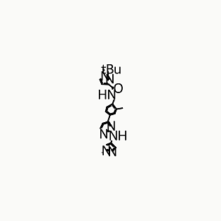 Cc1cc(-c2ccnc(Nc3cnn(C)c3)n2)ccc1CNC(=O)c1ccn(C(C)(C)C)n1